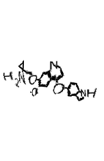 COc1cc2c(Oc3ccc4[nH]ccc4c3)ccnc2cc1OCC1(N)CC1